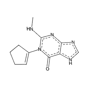 CNc1nc2nc[nH]c2c(=O)n1C1=CCCC1